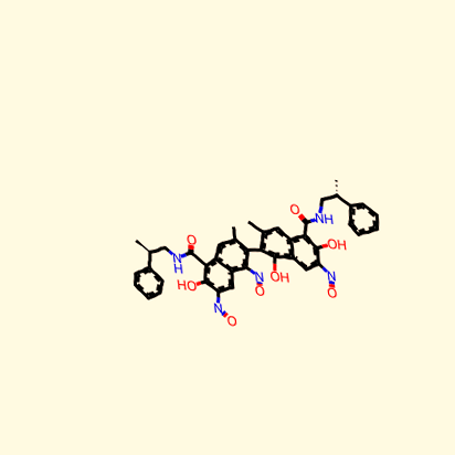 Cc1cc2c(C(=O)NC[C@H](C)c3ccccc3)c(O)c(N=O)cc2c(O)c1-c1c(C)cc2c(C(=O)NC[C@H](C)c3ccccc3)c(O)c(N=O)cc2c1N=O